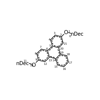 CCCCCCCCCCOc1ccc2c3ccc(OCCCCCCCCCC)cc3c3ccccc3c2c1